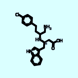 NCC(CCc1ccc(Cl)cc1)N[C@@H](CC(=O)O)Cc1c[nH]c2ccccc12